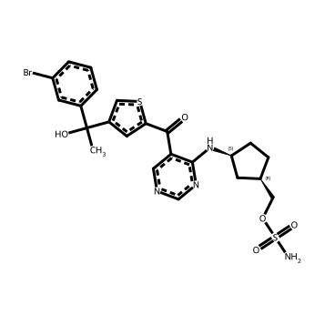 CC(O)(c1cccc(Br)c1)c1csc(C(=O)c2cncnc2N[C@H]2CC[C@@H](COS(N)(=O)=O)C2)c1